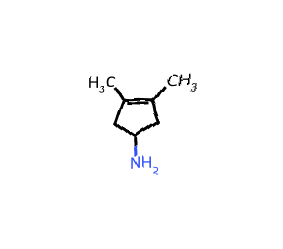 CC1=C(C)CC(N)C1